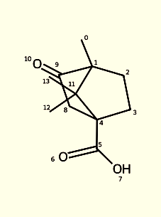 CC12CCC(C(=O)O)(CC1=O)C2(C)C